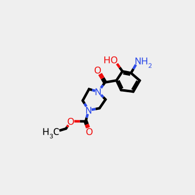 CCOC(=O)N1CCN(C(=O)c2cccc(N)c2O)CC1